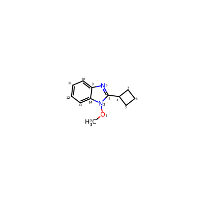 COn1c(C2CCC2)nc2ccccc21